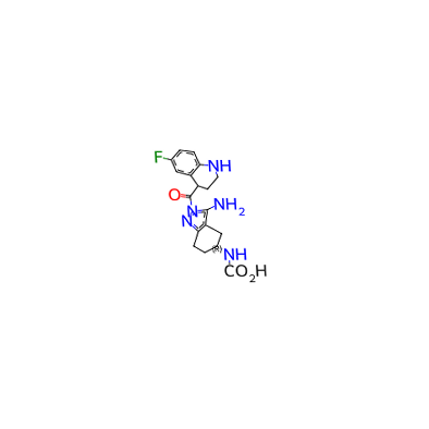 Nc1c2c(nn1C(=O)C1CCNc3ccc(F)cc31)CC[C@@H](NC(=O)O)C2